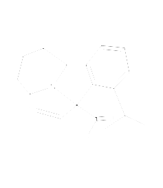 CC(C)c1ccccc1C(C=O)(C(=O)O)N1CCCCC1